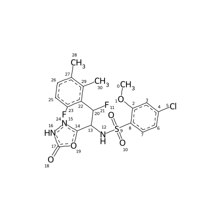 COc1cc(Cl)ccc1S(=O)(=O)NC(c1n[nH]c(=O)o1)C(F)c1c(F)ccc(C)c1C